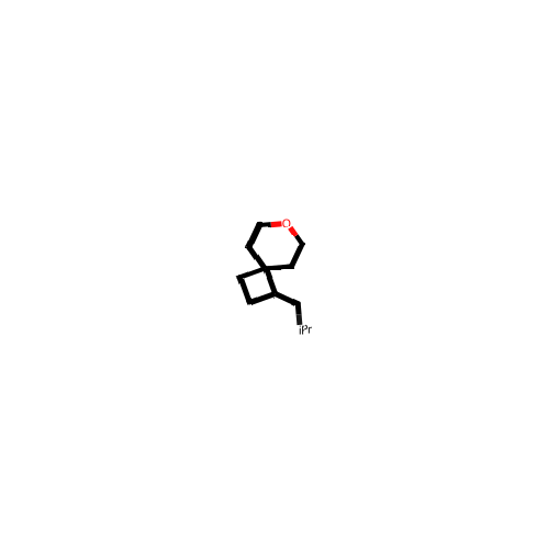 CC(C)CC1CCC12CCOCC2